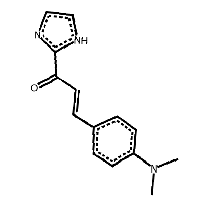 CN(C)c1ccc(C=CC(=O)c2ncc[nH]2)cc1